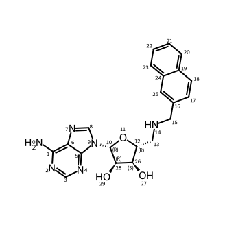 Nc1ncnc2c1ncn2[C@@H]1O[C@H](CNCc2ccc3ccccc3c2)[C@@H](O)[C@H]1O